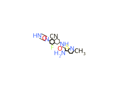 Cc1ccc2c(N)c(C(=O)N[C@@H]3CCc4c(C#N)c(N5CC6CNCC(C5)O6)cc(F)c4C3)sc2n1